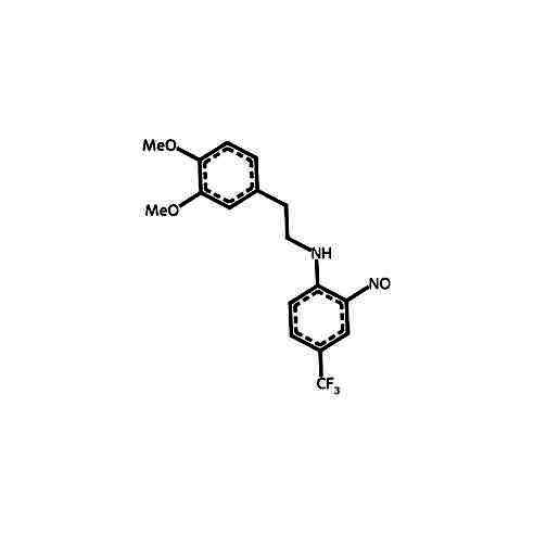 COc1ccc(CCNc2ccc(C(F)(F)F)cc2N=O)cc1OC